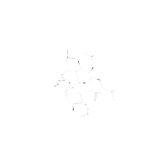 CC(=O)OC[C@H]1O[C@@H]([C@]2(OC(C)=O)[C@H](OC(C)=O)[C@@H](OC(C)=O)[C@@H](O)O[C@@H]2CO)[C@H](OC(C)=O)[C@@H](OC(C)=O)[C@H]1OC(C)=O